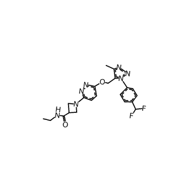 CCNC(=O)C1CN(c2ccc(OCc3c(C)nnn3-c3ccc(C(F)F)cc3)nn2)C1